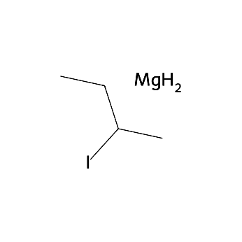 CCC(C)I.[MgH2]